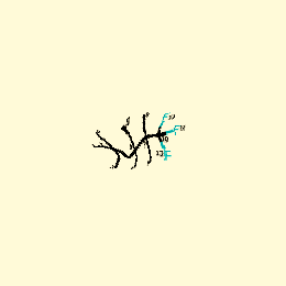 CC(C)(C)C(C)(C)C(C)(C)C(F)(F)F